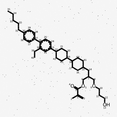 C=C(C)C(=O)OCC(COCCCO)CC1CCC(C2CCC(c3ccc(-c4ccc(CCCCC)cc4)c(CC)c3)CC2)CC1